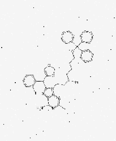 CC(C)N(CCCCOC(c1ccccc1)(c1ccccc1)c1ccccc1)CCn1c(C(C2=COCO2)c2ccccc2I)nc2c(N)nc(F)nc21